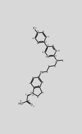 CN(CCCOc1ccc2c(c1)CC[C@H]2CC(=O)O)c1ncc(-c2ccc(F)cc2)cn1